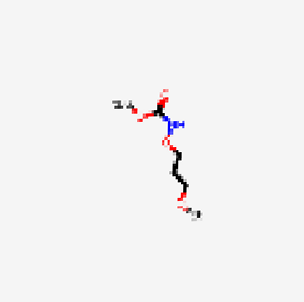 CCOCCCONC(=O)OC(C)(C)C